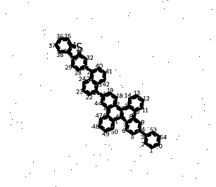 c1ccc(-c2ccc3c(c2)c2ccccc2c2c4ccc(-c5cccc6c(-c7ccc8c(c7)sc7ccccc78)cccc56)cc4c4ccccc4c32)cc1